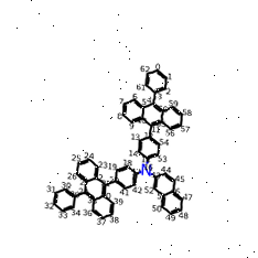 c1ccc(-c2c3ccccc3c(-c3ccc(N(c4ccc(-c5c6ccccc6c(-c6ccccc6)c6ccccc56)cc4)c4ccc5ccccc5c4)cc3)c3ccccc23)cc1